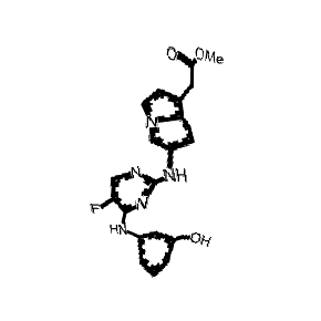 COC(=O)Cc1ccn2cc(Nc3ncc(F)c(Nc4cccc(O)c4)n3)ccc12